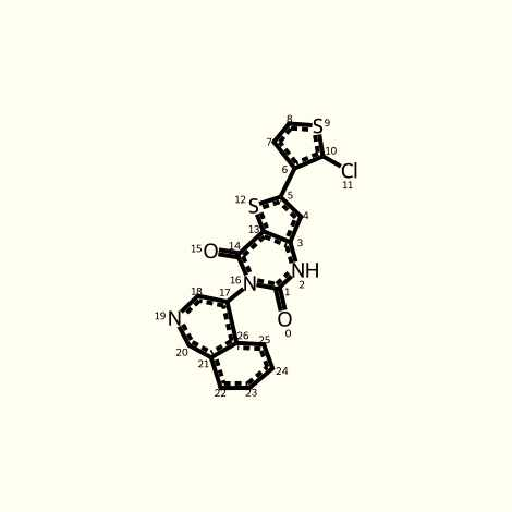 O=c1[nH]c2cc(-c3ccsc3Cl)sc2c(=O)n1-c1cncc2ccccc12